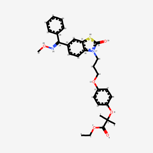 CCOC(=O)C(C)(C)Oc1ccc(OCCCn2c(=O)sc3cc(C(=NOC)c4ccccc4)ccc32)cc1